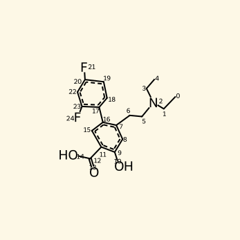 CCN(CC)CCc1cc(O)c(C(=O)O)cc1-c1ccc(F)cc1F